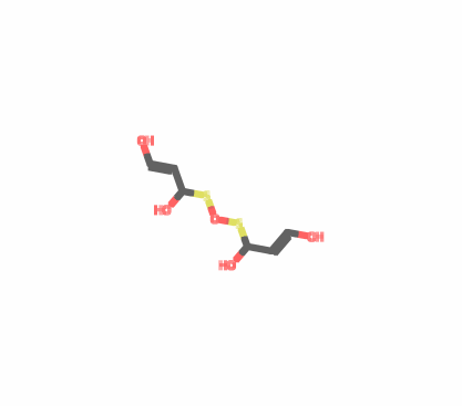 OC=CC(O)SOSC(O)C=CO